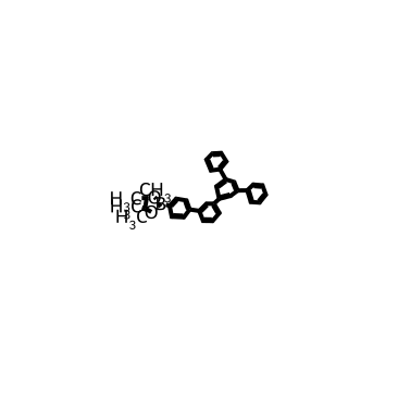 CC1(C)OB(c2ccc(-c3cccc(-c4cc(-c5ccccc5)cc(-c5ccccc5)c4)c3)cc2)OC1(C)C